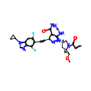 C=CC(=O)N1C[C@@H](n2nc(C#Cc3c(F)cc4c(ncn4C4CC4)c3F)c(C(N)=O)c2NC)C[C@@H]1COC